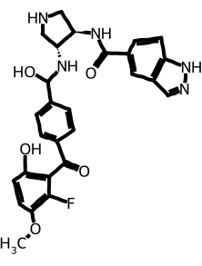 COc1ccc(O)c(C(=O)c2ccc(C(O)N[C@@H]3CNC[C@H]3NC(=O)c3ccc4[nH]ncc4c3)cc2)c1F